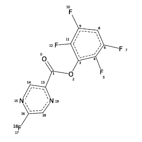 O=C(Oc1c(F)c(F)cc(F)c1F)c1cnc([18F])cn1